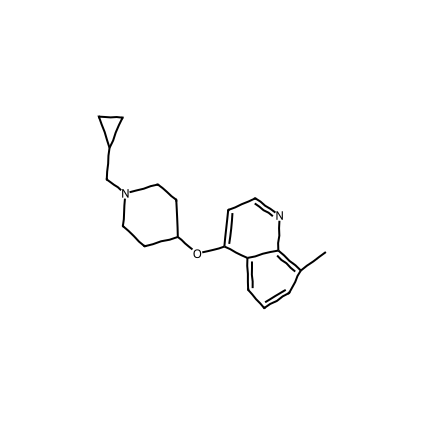 Cc1cccc2c(OC3CCN(CC4CC4)CC3)ccnc12